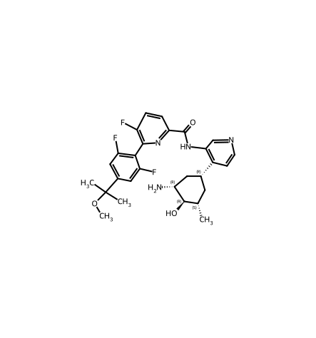 COC(C)(C)c1cc(F)c(-c2nc(C(=O)Nc3cnccc3[C@H]3C[C@@H](N)[C@H](O)[C@@H](C)C3)ccc2F)c(F)c1